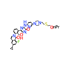 CCCOCCSCCN1CCN(c2ccc(Nc3nc(-c4cccc(-n5ccc6cc(C7CC7)cc(F)c6c5=O)c4CO)cn(C)c3=O)nc2)CC1